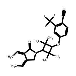 C/C=C1/CN(C2C(C)(C)C(Oc3ccc(C#N)c(C(F)(F)F)c3)C2(C)C)C(=O)/C1=C/C